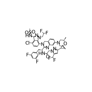 C[C@@H]1CN(c2ccc3c(c2)N=C([C@H](Cc2cc(F)cc(F)c2)NC(=O)Cn2nc(C4CC4)cc2C(F)F)N(c2ccc(Cl)c4c(NS(C)(=O)=O)nn(CC(F)F)c24)C3)C[C@H](C)O1